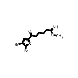 COC(=N)CCCCC(=O)c1cc(Br)c(Br)s1